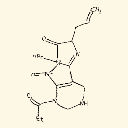 C=CCC1N=C2C3=C(N(C(=O)CC)CNC3)[N+](=O)[N+]2(CCC)C1=O